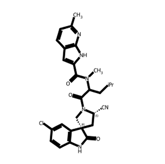 Cc1ccc2cc(C(=O)N(C)C(CC(C)C)C(=O)N3C[C@]4(C[C@H]3C#N)C(=O)Nc3ccc(Cl)cc34)[nH]c2n1